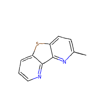 Cc1ccc2sc3cccnc3c2n1